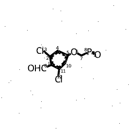 O=Cc1c(Cl)cc(OCP=O)cc1Cl